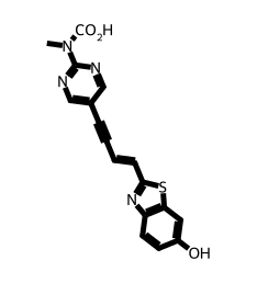 CN(C(=O)O)c1ncc(C#C/C=C/c2nc3ccc(O)cc3s2)cn1